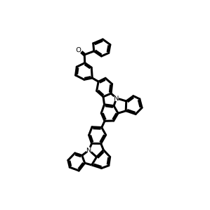 O=C(c1ccccc1)c1cccc(-c2ccc3c(c2)c2cc(-c4ccc5c(c4)c4cccc6c7ccccc7n5c64)cc4c5ccccc5n3c42)c1